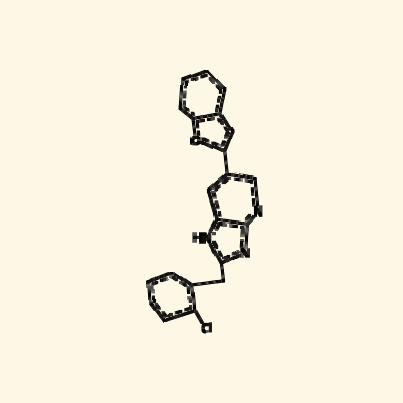 Clc1ccccc1Cc1nc2ncc(-c3cc4ccccc4o3)cc2[nH]1